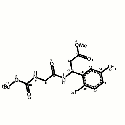 COC(=O)C[C@H](NC(=O)CNC(=O)OC(C)(C)C)c1cc(C(F)(F)F)ccc1F